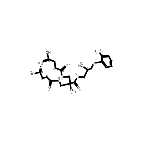 Cc1ccccc1OCC(O)COC(=O)C(C)(COC(=O)CCC(=O)O)COC(=O)CCC(=O)O